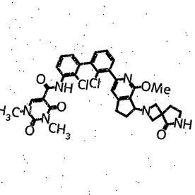 COc1nc(-c2cccc(-c3cccc(NC(=O)c4cn(C)c(=O)n(C)c4=O)c3Cl)c2Cl)cc2c1C(N1CC3(CCNC3=O)C1)CC2